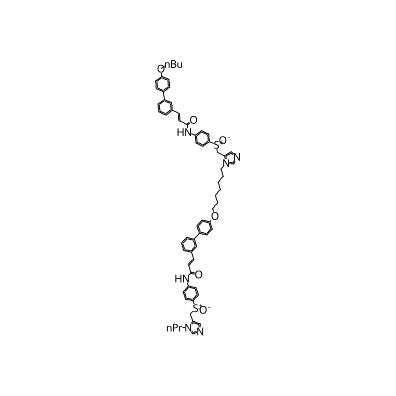 CCCCOc1ccc(-c2cccc(/C=C/C(=O)Nc3ccc([S@@+]([O-])Cc4cncn4CCCCCCCOc4ccc(-c5cccc(/C=C/C(=O)Nc6ccc([S@+]([O-])Cc7cncn7CCC)cc6)c5)cc4)cc3)c2)cc1